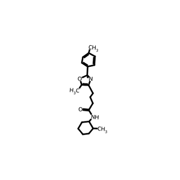 Cc1ccc(-c2nc(CCCC(=O)NC3CCCCC3C)c(C)o2)cc1